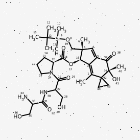 CC1=C2C(=C[C@@](C)(CO[Si](C)(C)C(C)(C)C)[C@@H]2OC(=O)[C@@H]2CCCN2C(=O)C(CO)NC(=O)C(N)CO)C(=O)[C@](C)(O)C12CC2